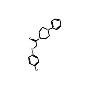 CC(=O)c1ccc(NCC(=O)N2CCN(c3ccncc3)CC2)cc1